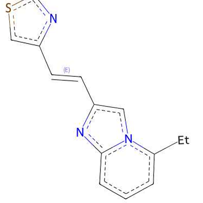 CCc1cccc2nc(/C=C/c3cscn3)cn12